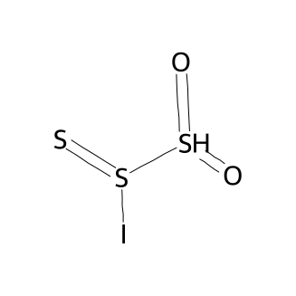 O=[SH](=O)S(=S)I